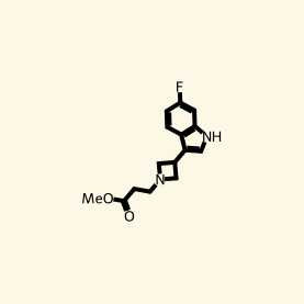 COC(=O)CCN1CC(c2c[nH]c3cc(F)ccc23)C1